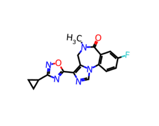 CN1Cc2c(-c3nc(C4CC4)no3)ncn2-c2ccc(F)cc2C1=O